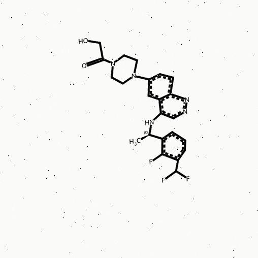 C[C@@H](Nc1cnnc2ccc(N3CCN(C(=O)CO)CC3)cc12)c1cccc(C(F)F)c1F